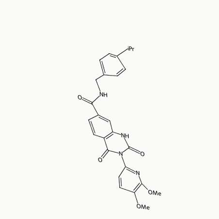 COc1ccc(-n2c(=O)[nH]c3cc(C(=O)NCc4ccc(C(C)C)cc4)ccc3c2=O)nc1OC